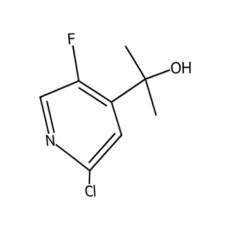 CC(C)(O)c1cc(Cl)ncc1F